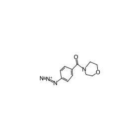 [N-]=[N+]=Nc1ccc(C(=O)N2CCOCC2)cc1